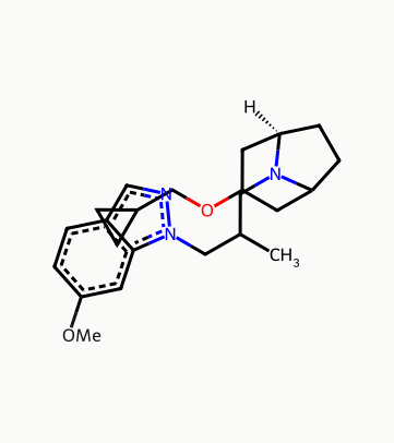 COc1ccc2cnn(CC(C)CN3C4CC[C@@H]3CC(OCC3CC3)C4)c2c1